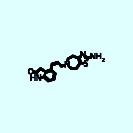 Nc1nc2c(s1)CCN(C/C=C\c1cccc3c1CC(=O)N3)CC2